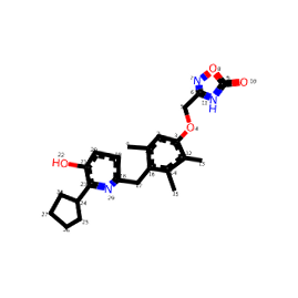 Cc1cc(OCc2noc(=O)[nH]2)c(C)c(C)c1Cc1ccc(O)c(C2CCCC2)n1